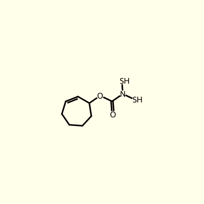 O=C(OC1C=CCCCC1)N(S)S